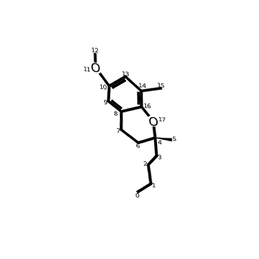 CCCC[C@]1(C)CCc2cc(OC)cc(C)c2O1